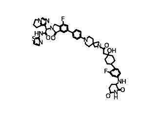 O=C1CCC(Nc2ccc(C3CCC(O)(CC(=O)N4CC5(CCN(c6ccc(-c7cc(F)c8c(c7)C(=O)N(C(C(=O)Nc7nccs7)c7ncn9c7CCC9)C8)cc6)CC5)C4)CC3)c(F)c2)C(=O)N1